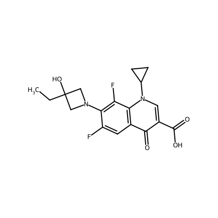 CCC1(O)CN(c2c(F)cc3c(=O)c(C(=O)O)cn(C4CC4)c3c2F)C1